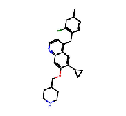 CC1C=CC(Cc2ccnc3cc(OCC4CCNCC4)c(C4CC4)cc23)=C(F)C1